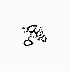 O=C(NS(=O)(=O)N1CCCC1)c1ccc(Br)c(F)c1OCc1ccccc1